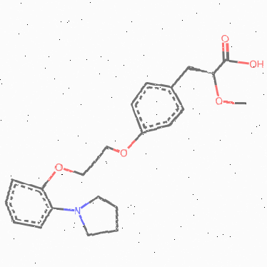 CO[C@@H](Cc1ccc(OCCOc2ccccc2N2CCCC2)cc1)C(=O)O